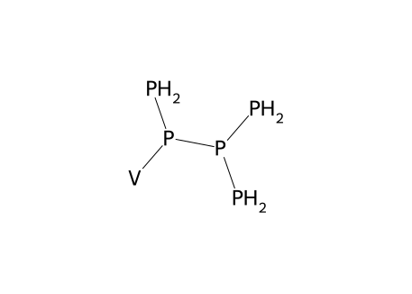 PP(P)[P](P)[V]